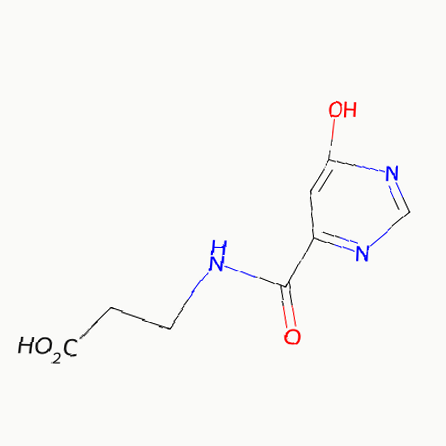 O=C(O)CCNC(=O)c1cc(O)ncn1